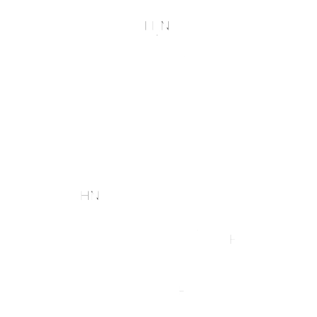 NCC#Cc1c[nH]c2cc(F)c(F)cc12